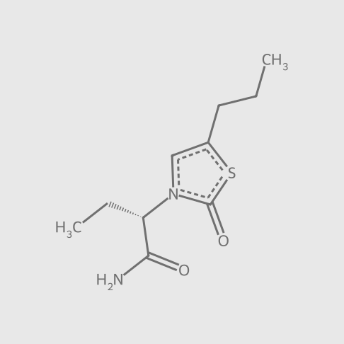 CCCc1cn([C@@H](CC)C(N)=O)c(=O)s1